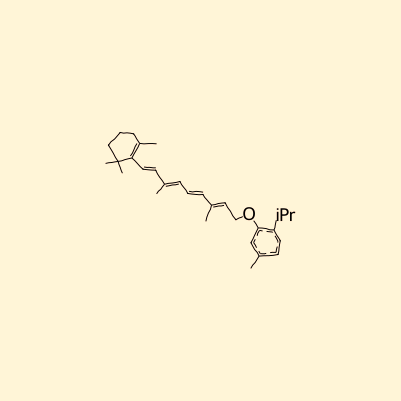 CC1=C(/C=C/C(C)=C/C=C/C(C)=C/COc2cc(C)ccc2C(C)C)C(C)(C)CCC1